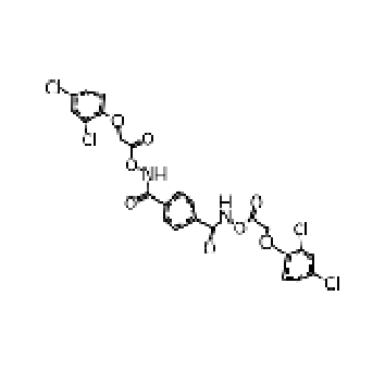 O=C(COc1ccc(Cl)cc1Cl)ONC(=O)c1ccc(C(=O)NOC(=O)COc2ccc(Cl)cc2Cl)cc1